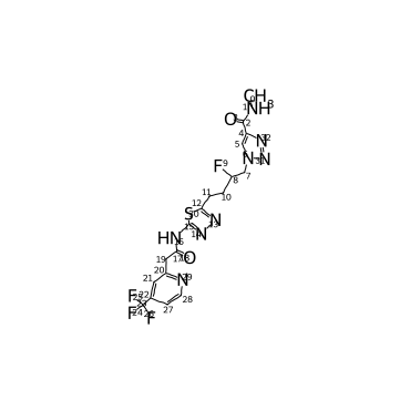 CNC(=O)c1cn(CC(F)CCc2nnc(NC(=O)Cc3cc(C(F)(F)F)ccn3)s2)nn1